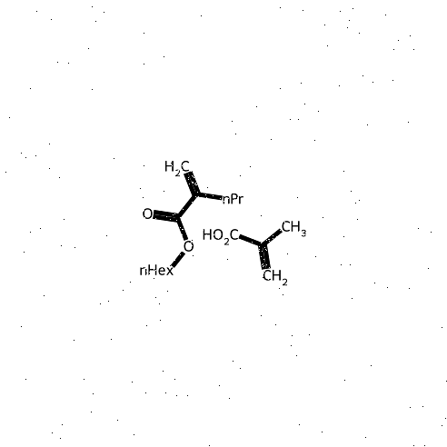 C=C(C)C(=O)O.C=C(CCC)C(=O)OCCCCCC